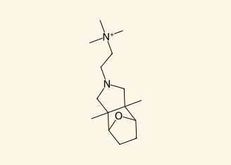 CC12CN(CC[N+](C)(C)C)CC1(C)C1CCC2O1